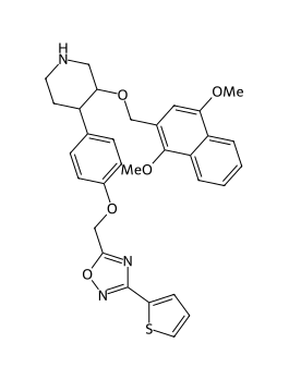 COc1cc(COC2CNCCC2c2ccc(OCc3nc(-c4cccs4)no3)cc2)c(OC)c2ccccc12